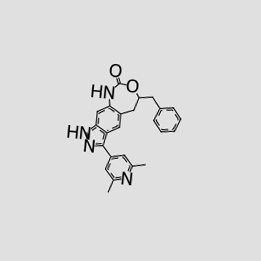 Cc1cc(-c2n[nH]c3cc4c(cc23)CC(Cc2ccccc2)OC(=O)N4)cc(C)n1